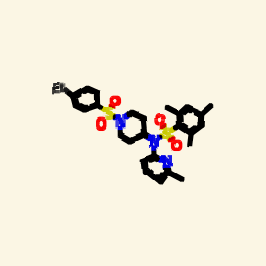 CCc1ccc(S(=O)(=O)N2CCC(N(c3cccc(C)n3)S(=O)(=O)c3c(C)cc(C)cc3C)CC2)cc1